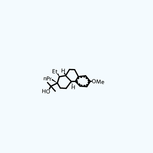 CCC[C@]1(C(C)(C)O)CC[C@@H]2c3ccc(OC)cc3CC[C@H]2[C@@H]1CC